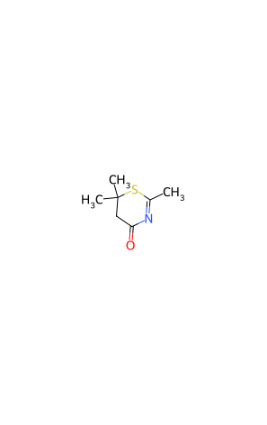 CC1=NC(=O)CC(C)(C)S1